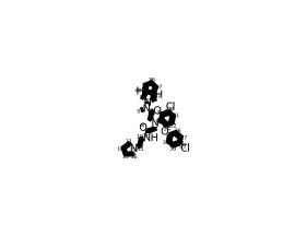 CN(C(=O)CN(CC(=O)NCCN1CCCC1)c1cc(Cl)ccc1Oc1ccc(Cl)cc1)N1C[C@H]2CCC[C@H]2C1